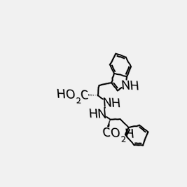 O=C(O)[C@H](Cc1ccccc1)NN[C@@H](Cc1c[nH]c2ccccc12)C(=O)O